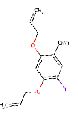 C=CCOc1cc(OCC=C)c(C=O)cc1I